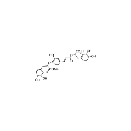 COC(=O)/C(=C\c1ccc(O)c(O)c1)Oc1ccc(/C=C/C(=O)OC(Cc2ccc(O)c(O)c2)C(=O)O)cc1O